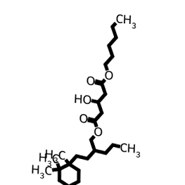 CCCCCCOC(=O)CC(O)CC(=O)OCC(CCC)CCC1(C)CCCCC1(C)C